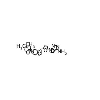 CC(C)(C)OC(=O)N1CCC2(CC1)CCN2C[C@@H]1CC[C@H](n2ccc3c(N)ncnc32)O1